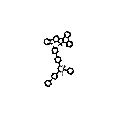 CC1(C)c2c(c3ccccc3c3ccccc23)-c2ccc3c4ccccc4n(-c4ccc(-c5ccc(C6C=C(c7ccc(-c8ccccc8)cc7)NC(c7ccccc7)N6)cc5)cc4)c3c21